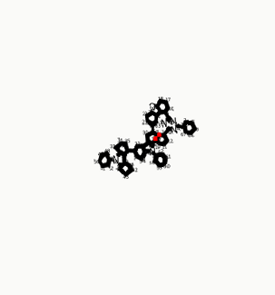 c1ccc(-c2nc(-c3ccccc3)nc(-c3cccc4oc5ccc(-c6ccc7c(c6)c6cc(-c8cccc9c8c8ccccc8n9-c8ccccc8)ccc6n7-c6ccccc6)cc5c34)n2)cc1